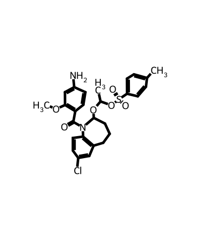 COc1cc(N)ccc1C(=O)N1c2ccc(Cl)cc2CCCC1OC(C)OS(=O)(=O)c1ccc(C)cc1